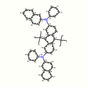 CC(C)(C)c1c2ccc(N(c3ccccc3)c3ccc4ccccc4c3)cc2c(C(C)(C)C)c2cc(N(c3ccccc3)c3ccc4ccccc4c3)ccc12